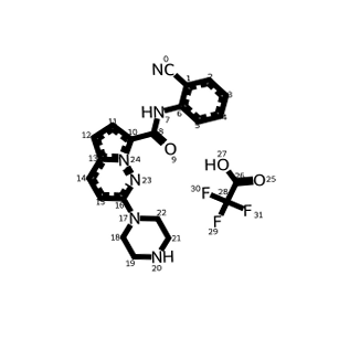 N#Cc1ccccc1NC(=O)c1ccc2ccc(N3CCNCC3)nn12.O=C(O)C(F)(F)F